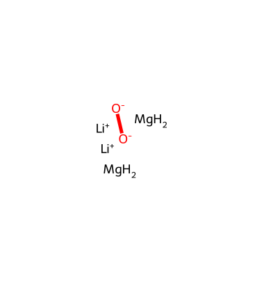 [Li+].[Li+].[MgH2].[MgH2].[O-][O-]